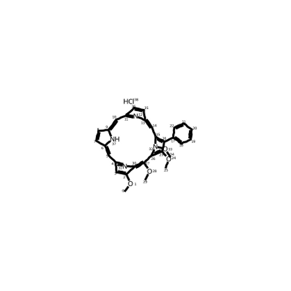 COC1=Cc2cc3ccc(cc4nc(cc5c(-c6ccccc6)c(OC)c(c(OC)c1n2)n5OC)C=C4)[nH]3.Cl